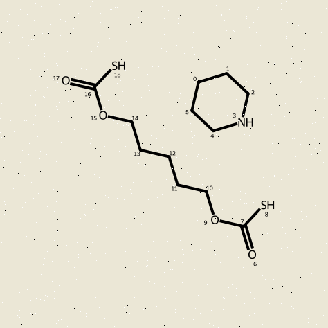 C1CCNCC1.O=C(S)OCCCCCOC(=O)S